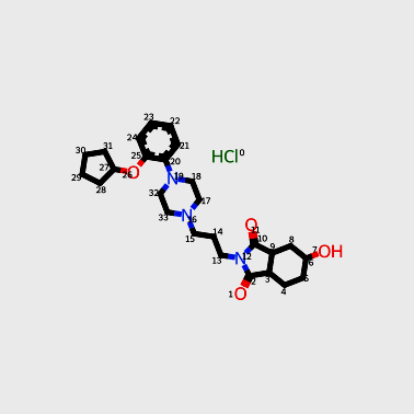 Cl.O=C1C2CCC(O)CC2C(=O)N1CCCN1CCN(c2ccccc2OC2CCCC2)CC1